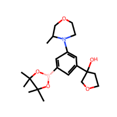 CC1COCCN1c1cc(B2OC(C)(C)C(C)(C)O2)cc(C2(O)CCOC2)c1